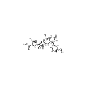 COC(=O)c1cc(S(=O)(=O)NC(=O)Cc2c(-c3ccnc(OC)c3)cc(F)cc2C(C)C)sc1C